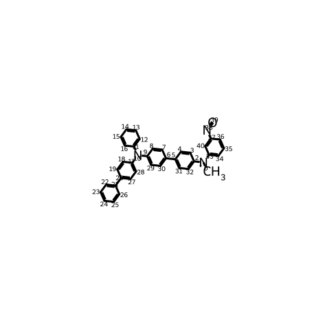 CN(c1ccc(-c2ccc(N(c3ccccc3)c3ccc(-c4ccccc4)cc3)cc2)cc1)c1cccc(N=O)c1